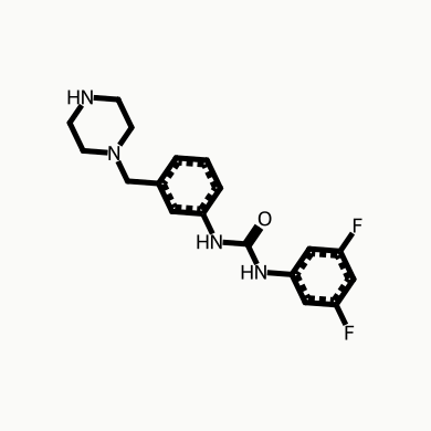 O=C(Nc1cc(F)cc(F)c1)Nc1cccc(CN2CCNCC2)c1